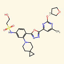 Cc1cc(-c2nnc(-c3ccc(NS(=O)(=O)CCO)cc3N3CCC4(CC3)CC4)o2)nc(O[C@@H]2CCOC2)n1